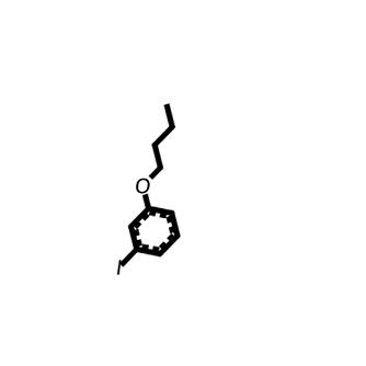 CCCCOc1cccc(I)c1